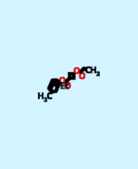 C=CC(=O)OC1CC(C(=O)OC2(CC)C3CC4CC2CC(C)(C4)C3)C1